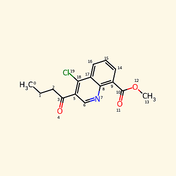 CCCC(=O)c1cnc2c(C(=O)OC)cccc2c1Cl